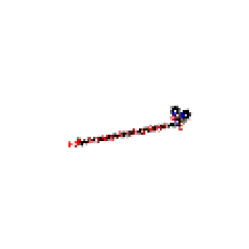 O=C(O)CCCOCCOCCOCCOCCOCCOCCOCCOCCOCCOCCOCCCN1C(=O)C(Sc2ccccn2)=C(Sc2ccccn2)C1=O